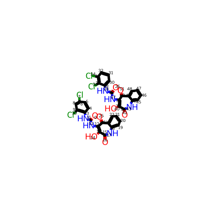 O=C(Nc1ccc(Cl)cc1Cl)Nc1c(O)c(=O)[nH]c2ccccc2c1=O.O=C(Nc1cccc(Cl)c1Cl)Nc1c(O)c(=O)[nH]c2ccccc2c1=O